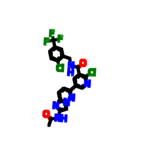 CC(=O)Nc1cn2nc(-c3cnc(Cl)c(C(=O)NCc4cc(C(F)(F)F)ccc4Cl)c3)ccc2n1